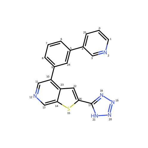 c1cncc(-c2cccc(-c3cncc4sc(-c5nnn[nH]5)cc34)c2)c1